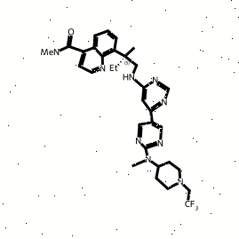 CC[C@](C)(CNc1cc(-c2cnc(N(C)C3CCN(CC(F)(F)F)CC3)nc2)ncn1)c1cccc2c(C(=O)NC)ccnc12